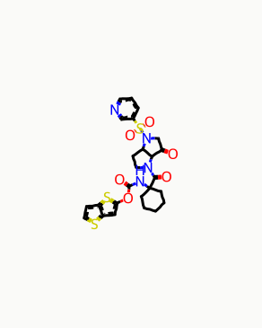 O=C(NC1(C(=O)N2CCC3C2C(=O)CN3S(=O)(=O)c2cccnc2)CCCCC1)Oc1cc2sccc2s1